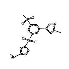 CNc1ccc(S(=O)(=O)c2cc(-c3cnn(C)c3)cc(S(C)(=O)=O)c2)s1